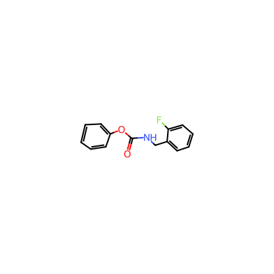 O=C(NCc1ccccc1F)Oc1ccccc1